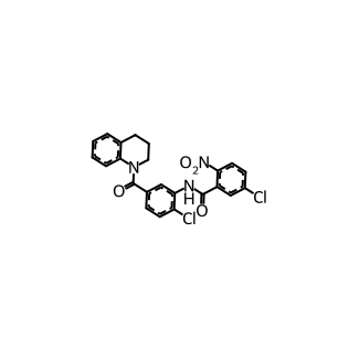 O=C(Nc1cc(C(=O)N2CCCc3ccccc32)ccc1Cl)c1cc(Cl)ccc1[N+](=O)[O-]